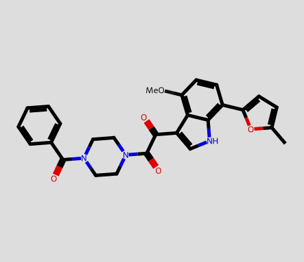 COc1ccc(-c2ccc(C)o2)c2[nH]cc(C(=O)C(=O)N3CCN(C(=O)c4ccccc4)CC3)c12